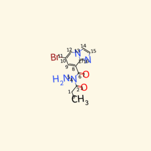 CCC(=O)N(N)C(=O)c1cc(Br)cn2ccnc12